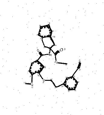 COC(=O)C1(NC(=O)c2ccc(OC)c(OCCc3cccc(C#N)c3)c2)Cc2ccccc2C1